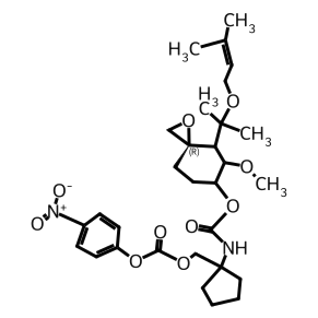 COC1C(OC(=O)NC2(COC(=O)Oc3ccc([N+](=O)[O-])cc3)CCCC2)CC[C@]2(CO2)C1C(C)(C)OCC=C(C)C